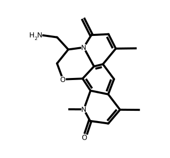 C=C1C=C(C)c2cc3c(C)cc(=O)n(C)c3c3c2N1C(CN)CO3